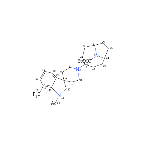 CCOC(=O)N1C2CCC(N3CCC4(CC3)CN(C(C)=O)c3c(C(F)(F)F)cccc34)CCC1CC2